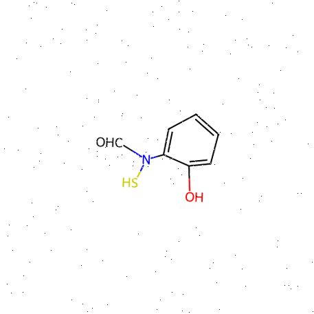 O=CN(S)c1ccccc1O